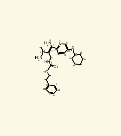 CN(N)/C(CNC(=O)OCCc1ccccc1)=C(\N)c1ccc(OC2CCCCC2)cn1